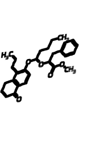 CCCCC(Oc1ccc2c(c1CCC)CCCC2=O)OC(Cc1ccccc1)C(=O)OC